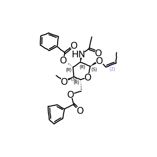 C/C=C\O[C@H]1O[C@H](COC(=O)c2ccccc2)[C@@H](OC)[C@H](OC(=O)c2ccccc2)[C@H]1NC(C)=O